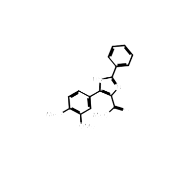 COC(=O)c1nc(-c2ccccc2)[nH]c1-c1ccc(OC)c(OC)c1